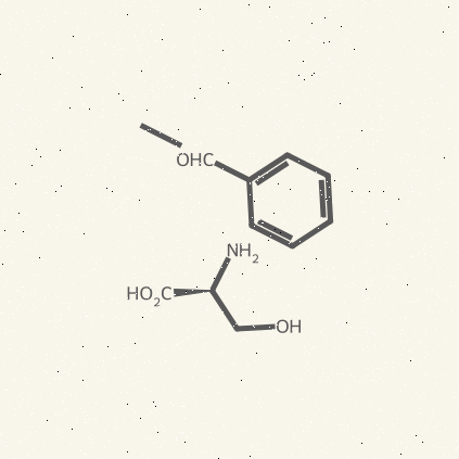 CC.N[C@@H](CO)C(=O)O.O=Cc1ccccc1